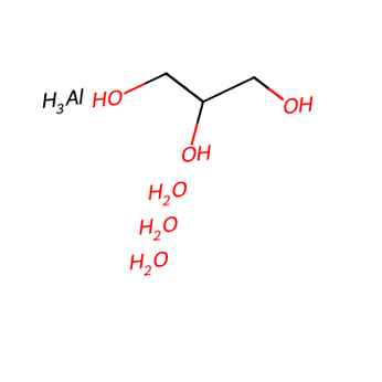 O.O.O.OCC(O)CO.[AlH3]